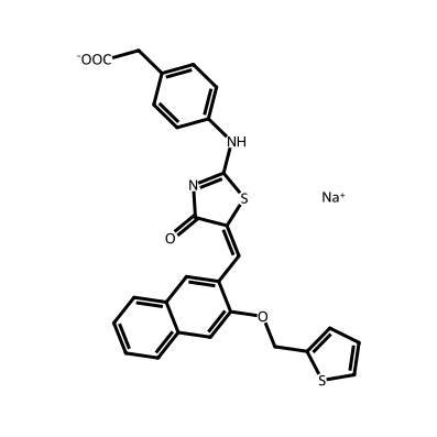 O=C([O-])Cc1ccc(NC2=NC(=O)C(=Cc3cc4ccccc4cc3OCc3cccs3)S2)cc1.[Na+]